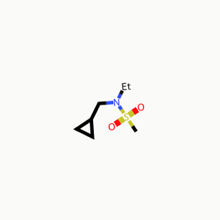 CCN(CC1CC1)S(C)(=O)=O